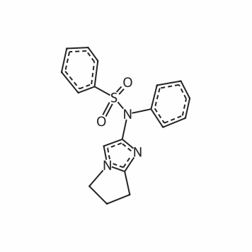 O=S(=O)(c1ccccc1)N(c1ccccc1)c1cn2c(n1)CCC2